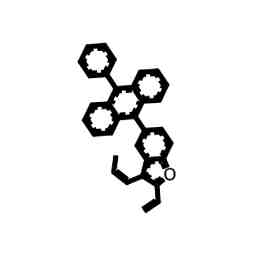 C=Cc1oc2ccc(-c3c4ccccc4c(-c4ccccc4)c4ccccc34)cc2c1/C=C\C